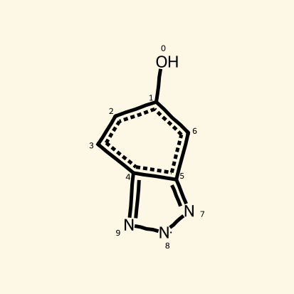 Oc1ccc2c(c1)=N[N]N=2